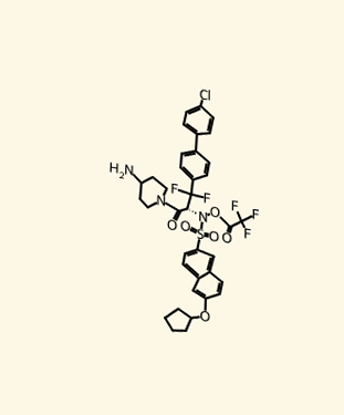 NC1CCN(C(=O)[C@@H](N(OC(=O)C(F)(F)F)S(=O)(=O)c2ccc3cc(OC4CCCC4)ccc3c2)C(F)(F)c2ccc(-c3ccc(Cl)cc3)cc2)CC1